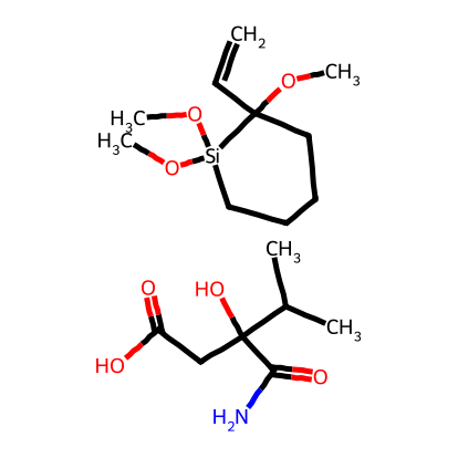 C=CC1(OC)CCCC[Si]1(OC)OC.CC(C)C(O)(CC(=O)O)C(N)=O